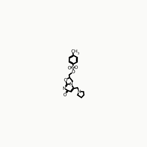 Cc1ccc(S(=O)(=O)OCC2Cn3c(CN4CCCC4)cc(=O)nc3O2)cc1